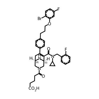 O=C(O)CCCC(=O)N1C[C@H]2CC(c3ccc(CCCOc4cc(F)ccc4Br)cc3)=C(C(=O)N(Cc3ccccc3F)C3CC3)[C@@H](C1)N2